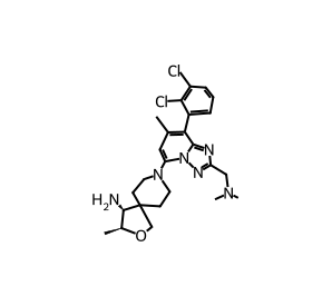 Cc1cc(N2CCC3(CC2)CO[C@@H](C)[C@H]3N)n2nc(CN(C)C)nc2c1-c1cccc(Cl)c1Cl